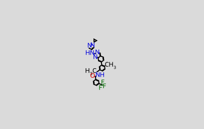 Cc1ccc([C@@H](C)NC(=O)c2cccc(C(F)(F)F)c2)cc1-c1ccc2cnc(Nc3cnn(C4CC4)c3)nc2c1